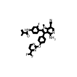 C=C(C)C(=O)Nc1ccc(-c2c(-c3ccc(Oc4nccc(C(F)F)n4)cc3)c3c(N)ncc(C#N)c3n2C)c(F)c1